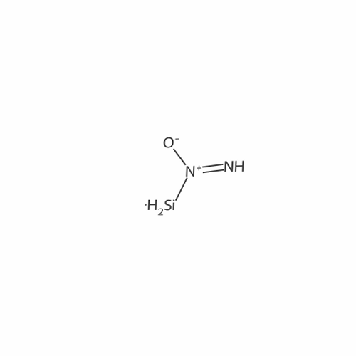 N=[N+]([O-])[SiH2]